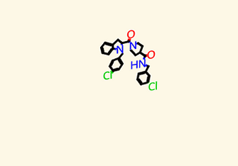 O=C(NCc1cccc(Cl)c1)C1CCN(C(=O)C2Cc3ccccc3N2Cc2ccc(Cl)cc2)CC1